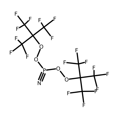 N#P(OOC(C(F)(F)F)(C(F)(F)F)C(F)(F)F)OOC(C(F)(F)F)(C(F)(F)F)C(F)(F)F